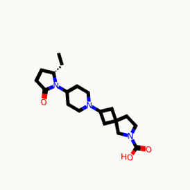 CC[C@H]1CCC(=O)N1C1CCN(C2CC3(CCN(C(=O)O)C3)C2)CC1